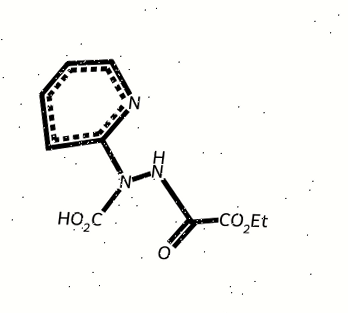 CCOC(=O)C(=O)NN(C(=O)O)c1ccccn1